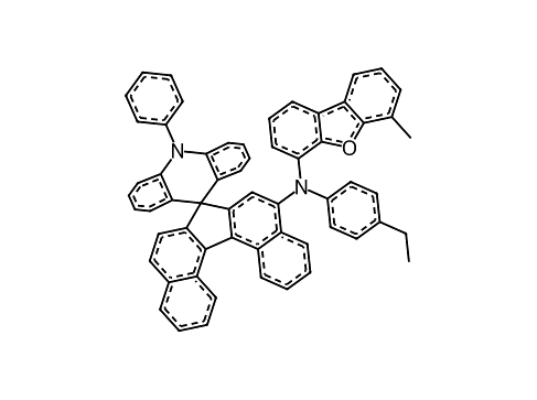 CCc1ccc(N(c2cc3c(c4ccccc24)-c2c(ccc4ccccc24)C32c3ccccc3N(c3ccccc3)c3ccccc32)c2cccc3c2oc2c(C)cccc23)cc1